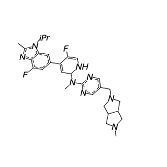 Cc1nc2c(F)cc(C3=CC(N(C)c4ncc(CN5CC6CN(C)CC6C5)cn4)NC=C3F)cc2n1C(C)C